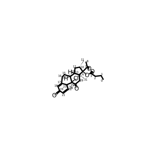 CCCC(=O)O[C@]1(C(C)=O)[C@@H](C)C[C@H]2[C@@H]3CCC4=CC(=O)C=C[C@]4(C)[C@@]3(Cl)C(=O)C[C@@]21C